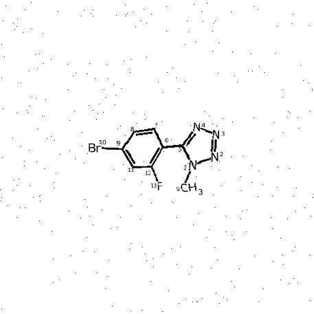 Cn1nnnc1-c1ccc(Br)cc1F